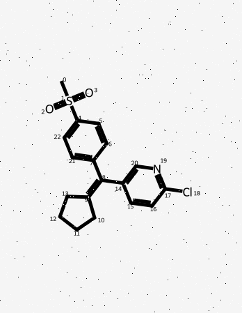 CS(=O)(=O)c1ccc(C(=C2CCCC2)c2ccc(Cl)nc2)cc1